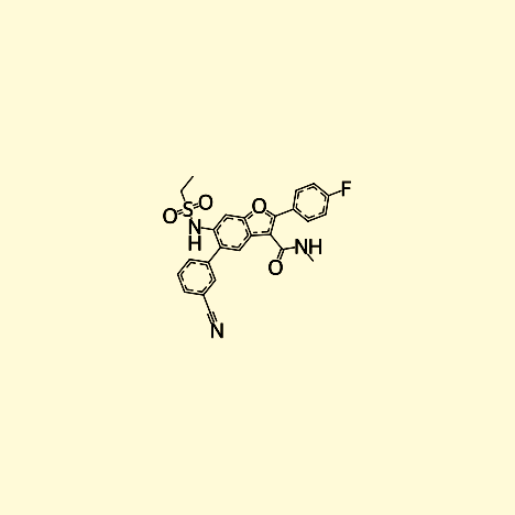 CCS(=O)(=O)Nc1cc2oc(-c3ccc(F)cc3)c(C(=O)NC)c2cc1-c1cccc(C#N)c1